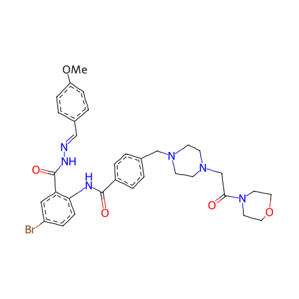 COc1ccc(C=NNC(=O)c2cc(Br)ccc2NC(=O)c2ccc(CN3CCN(CC(=O)N4CCOCC4)CC3)cc2)cc1